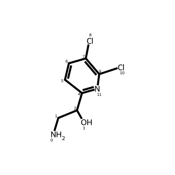 NCC(O)c1ccc(Cl)c(Cl)n1